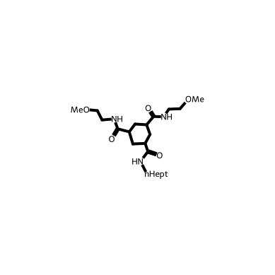 CCCCCCCNC(=O)C1CC(C(=O)NCCOC)CC(C(=O)NCCOC)C1